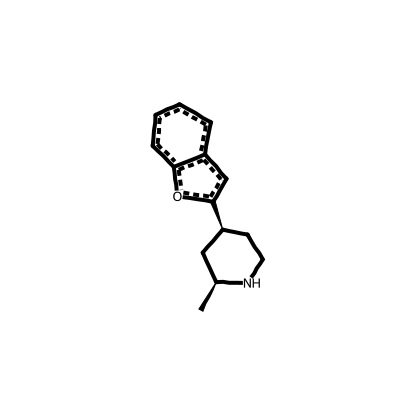 C[C@H]1C[C@@H](c2cc3ccccc3o2)CCN1